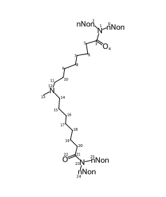 CCCCCCCCCN(CCCCCCCCC)C(=O)CCCCCCCN(C)CCCCCCCC(=O)N(CCCCCCCCC)CCCCCCCCC